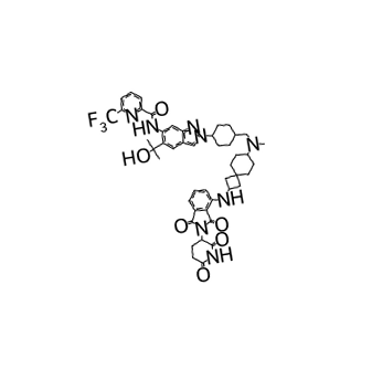 CN(CC1CCC(n2cc3cc(C(C)(C)O)c(NC(=O)c4cccc(C(F)(F)F)n4)cc3n2)CC1)C1CCC2(CC1)CC(Nc1cccc3c1C(=O)N(C1CCC(=O)NC1=O)C3=O)C2